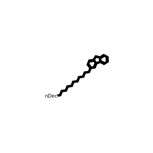 CCCCCCCCCCCCCCCCCCCCCc1ccc2c(c1)-c1ccccc1C2